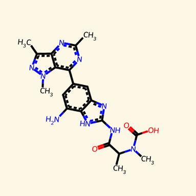 Cc1nc(-c2cc(N)c3[nH]c(NC(=O)C(C)N(C)C(=O)O)nc3c2)c2c(n1)c(C)nn2C